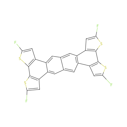 Fc1cc2c3cc4cc5c(cc4cc3c3cc(F)sc3c2s1)c1cc(F)sc1c1sc(F)cc51